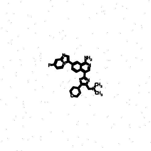 CN(C)Cc1nc(-c2cnc(N)c3cc(-c4cnc5cc(F)ccn45)ccc23)sc1C1CCOCC1